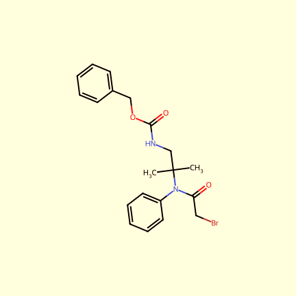 CC(C)(CNC(=O)OCc1ccccc1)N(C(=O)CBr)c1ccccc1